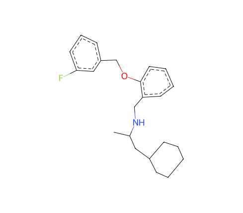 CC(CC1CCCCC1)NCc1ccccc1OCc1cccc(F)c1